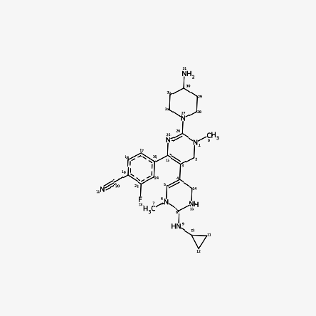 CN1CC(C2=CN(C)C(NC3CC3)NC2)=C(c2ccc(C#N)c(F)c2)N=C1N1CCC(N)CC1